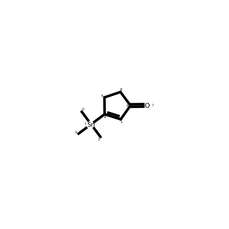 [CH3][Sn]([CH3])([CH3])[C]1=CC(=O)CC1